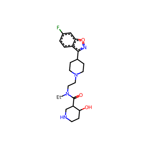 CCN(CCN1CCC(c2noc3cc(F)ccc23)CC1)C(=O)C1CNCCC1O